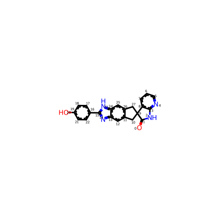 O=C1Nc2ncccc2C12Cc1cc3nc(-c4ccc(O)cc4)[nH]c3cc1C2